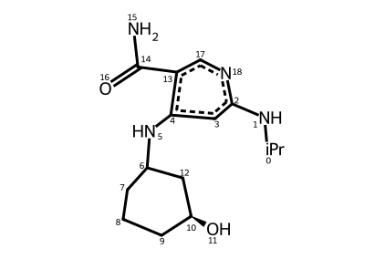 CC(C)Nc1cc(NC2CCC[C@H](O)C2)c(C(N)=O)cn1